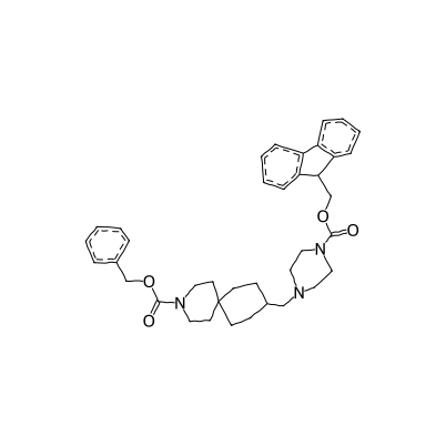 O=C(OCc1ccccc1)N1CCC2(CCC(CN3CCN(C(=O)OCC4c5ccccc5-c5ccccc54)CC3)CC2)CC1